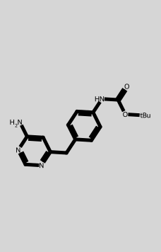 CC(C)(C)OC(=O)Nc1ccc(Cc2cc(N)ncn2)cc1